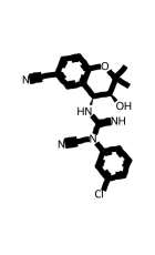 CC1(C)Oc2ccc(C#N)cc2[C@@H](NC(=N)N(C#N)c2cccc(Cl)c2)[C@@H]1O